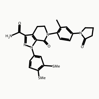 CSc1ccc(-n2nc(C(N)=O)c3c2C(=O)N(c2ccc(N4CCCC4=O)cc2C)CC3)cc1SC